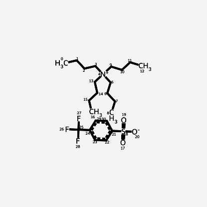 CCCC[N+](CCCC)(CCCC)CCCC.O=S(=O)([O-])c1ccc(C(F)(F)F)cc1